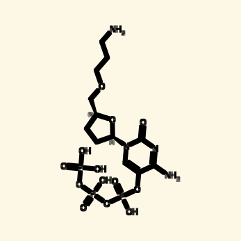 NCCCOC[C@@H]1CC[C@H](n2cc(OP(=O)(O)OP(=O)(O)OP(=O)(O)O)c(N)nc2=O)O1